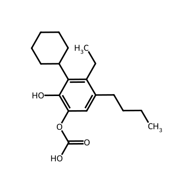 CCCCc1cc(OC(=O)O)c(O)c(C2CCCCC2)c1CC